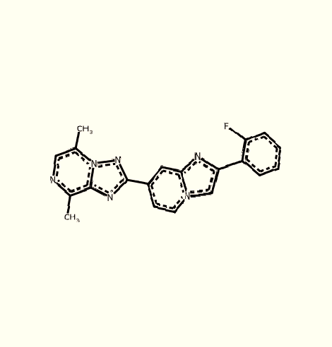 Cc1ncc(C)n2nc(-c3ccn4cc(-c5ccccc5F)nc4c3)nc12